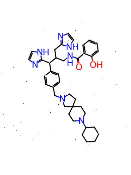 O=C(NCC(Cc1ncc[nH]1)C(c1ccc(CN2CCC3(CCN(C4CCCCC4)CC3)C2)cc1)c1ncc[nH]1)c1ccccc1O